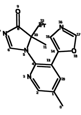 Cc1cnc(N2C=NC(=O)C2(C)C(C)C)c(-c2cnco2)c1